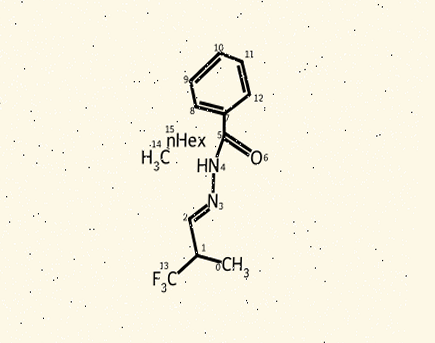 CC(C=NNC(=O)c1ccccc1)C(F)(F)F.CCCCCCC